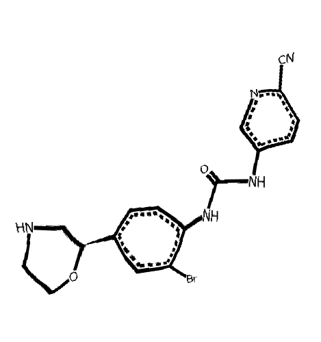 N#Cc1ccc(NC(=O)Nc2ccc([C@@H]3CNCCO3)cc2Br)cn1